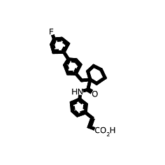 O=C(O)/C=C/c1cccc(NC(=O)C2(Cc3ccc(-c4ccc(F)cc4)cc3)CCCCC2)c1